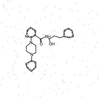 O=C(NC(O)CCc1ccccc1)c1cccnc1N1CCN(c2ccccc2)CC1